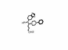 CCCN(C1CCc2ncsc2C1)C(CCCC=O)N1CCN(c2ccccc2)CC1